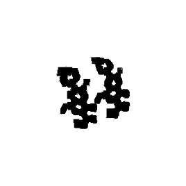 CCn1cc(C(=O)O)c(=O)c2cc(F)c(N3CCNCC3)cc21.CCn1cc(C(=O)O)c(=O)c2cc(F)c(N3CCNCC3)nc21